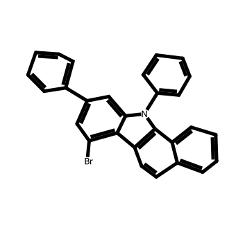 Brc1cc(-c2ccccc2)cc2c1c1ccc3ccccc3c1n2-c1ccccc1